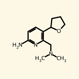 CN(C)Cc1nc(N)ccc1C1CCCO1